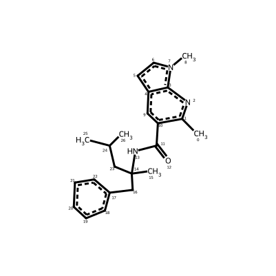 Cc1nc2c(ccn2C)cc1C(=O)NC(C)(Cc1ccccc1)CC(C)C